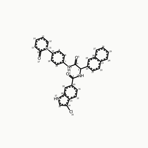 O=C(NC(C(=O)Nc1ccc(-n2ccccc2=O)cc1)c1ccc2ccccc2c1)c1ccc2c(Cl)c[nH]c2c1